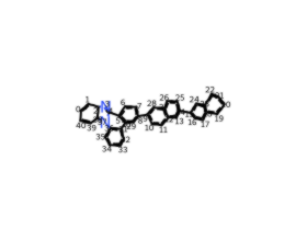 C1=CC2N=C3c4ccc(-c5ccc6cc(-c7ccc8ccccc8c7)ccc6c5)cc4-c4ccccc4N3C2C=C1